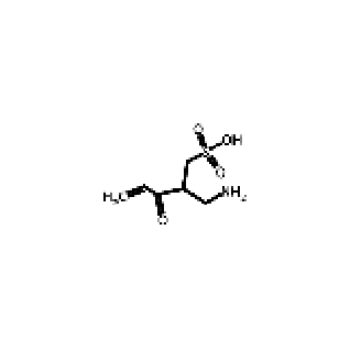 C=CC(=O)C(CN)CS(=O)(=O)O